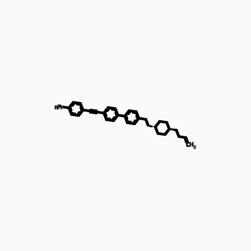 C=CCC[C@H]1CC[C@H](CCc2ccc(-c3ccc(C#Cc4ccc(CCC)cc4)cc3)cc2)CC1